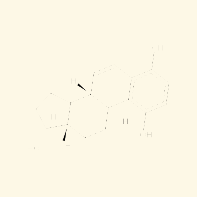 Cc1ccc(O)c2c1C=C[C@@H]1[C@@H]2CC[C@]2(C)[C@H](O)CC[C@@H]12